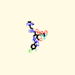 CC(C)c1c(C(=O)NCCc2nccn2C)cn2nc(-c3ccc(Cl)c(F)c3)[nH]c(=O)c12.O=C(O)C(F)(F)F